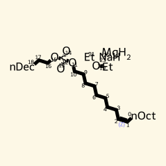 CCCCCCCC/C=C\CCCCCCCCOS(=O)(=O)OCCCCCCCCCCCC.CCOCC.[MgH2].[NaH]